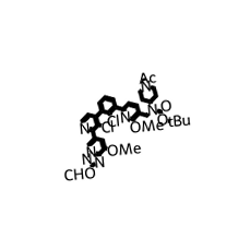 COc1nc(-c2cccc(-c3ccnc(-c4cc(OC)c5nc(C=O)nn5c4)c3Cl)c2Cl)ccc1CN(C(=O)OC(C)(C)C)C1CCN(C(C)=O)CC1